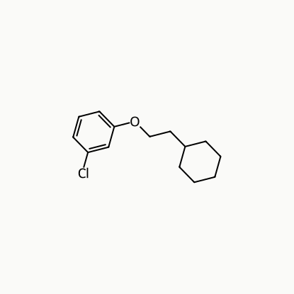 Clc1cccc(OCCC2CCCCC2)c1